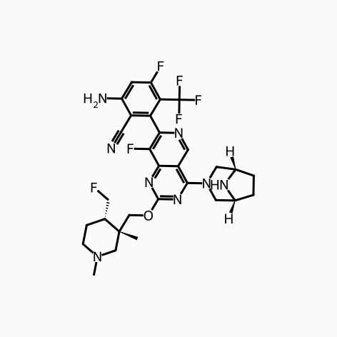 CN1CC[C@H](CF)[C@](C)(COc2nc(N3C[C@H]4CC[C@@H](C3)N4)c3cnc(-c4c(C#N)c(N)cc(F)c4C(F)(F)F)c(F)c3n2)C1